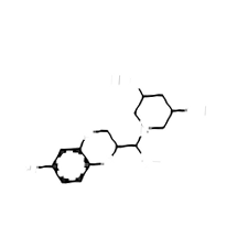 CC1CC(C)CN(C(C)C2COc3cc(C(C)(C)C)ccc3O2)C1